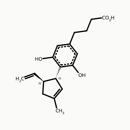 C=C[C@@H]1CC(C)=C[C@H]1c1c(O)cc(CCCC(=O)O)cc1O